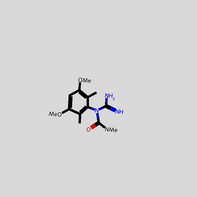 CNC(=O)N(C(=N)N)c1c(C)c(OC)cc(OC)c1C